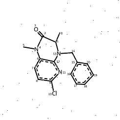 CC1C(=O)N(C)c2ccc(Cl)nc2N1Cc1ccccc1